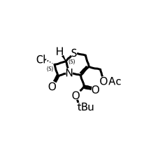 CC(=O)OCC1=C(C(=O)OC(C)(C)C)N2C(=O)[C@H](Cl)[C@@H]2SC1